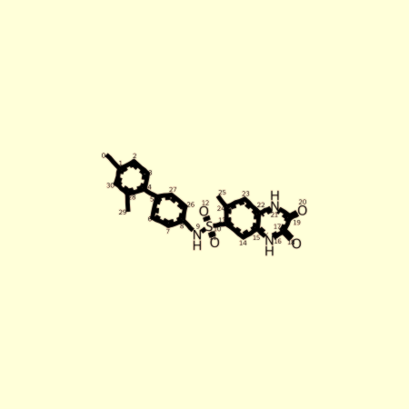 Cc1ccc(-c2ccc(NS(=O)(=O)c3cc4[nH]c(=O)c(=O)[nH]c4cc3C)cc2)c(C)c1